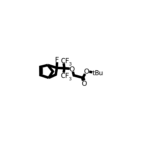 CC(C)(C)OC(=O)COC(C(F)(F)F)(C(F)(F)F)C1(F)CC2C=CC1C2